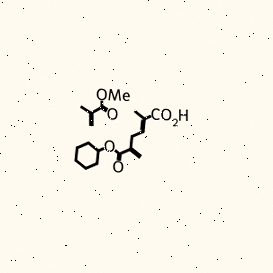 C=C(C)C(=O)OC.C=C(CC=C(C)C(=O)O)C(=O)OC1CCCCC1